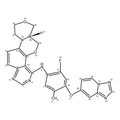 Cc1cc(Nc2ncnc3ccc4c(c23)OC[C@H]2COCCN42)c(F)cc1Oc1ccn2ncnc2c1